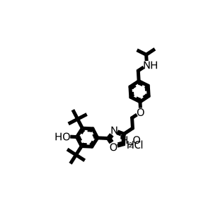 CC(C)NCc1ccc(OCCc2coc(-c3cc(C(C)(C)C)c(O)c(C(C)(C)C)c3)n2)cc1.Cl.O